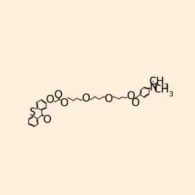 CN(C)c1ccc(C(=O)OCCCCOCCCCOCCCCOC(=O)COc2ccc3sc4ccccc4c(=O)c3c2)cc1